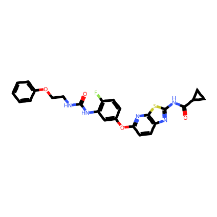 O=C(NCCOc1ccccc1)Nc1cc(Oc2ccc3nc(NC(=O)C4CC4)sc3n2)ccc1F